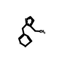 CCc1ccsc1CC1=C[C][C]C=C1